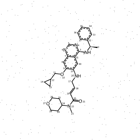 C[C@@H](Nc1ncnc2cc(OCC3CC3)c(NCC=CC(=O)N(C)C3CCOCC3)cc12)c1ccccc1